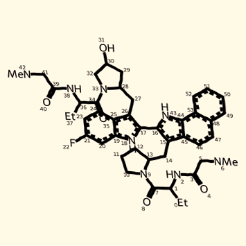 CCC(NC(=O)CNC)C(=O)N1CCCC1Cc1c(-c2[nH]c3cc(F)ccc3c2CC2CC(O)CN2C(=O)C(CC)NC(=O)CNC)[nH]c2c1ccc1ccccc12